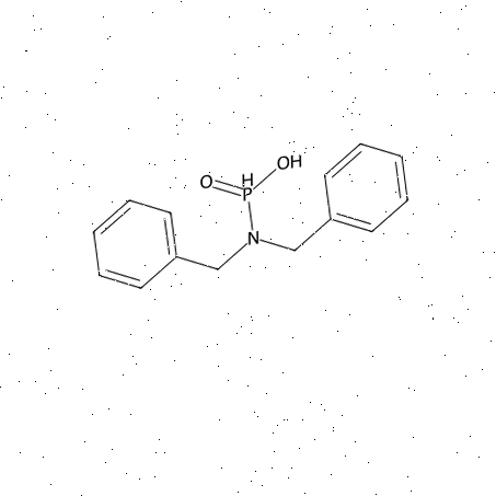 O=[PH](O)N(Cc1ccccc1)Cc1ccccc1